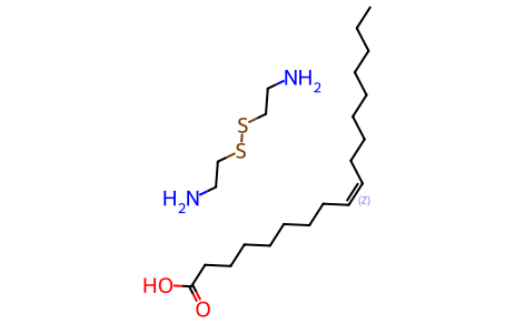 CCCCCCCC/C=C\CCCCCCCC(=O)O.NCCSSCCN